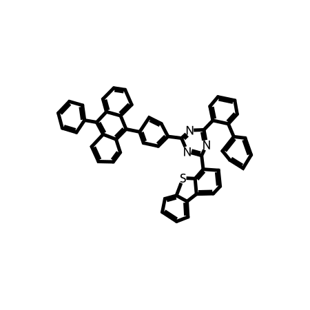 c1ccc(-c2ccccc2-c2nc(-c3ccc(-c4c5ccccc5c(-c5ccccc5)c5ccccc45)cc3)nc(-c3cccc4c3sc3ccccc34)n2)cc1